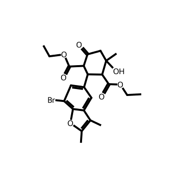 CCOC(=O)C1C(=O)CC(C)(O)C(C(=O)OCC)C1c1cc(Br)c2oc(C)c(C)c2c1